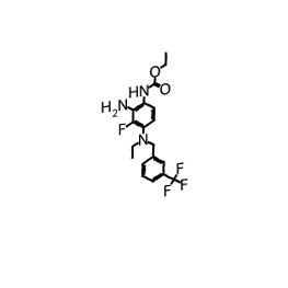 CCOC(=O)Nc1ccc(N(CC)Cc2cccc(C(F)(F)F)c2)c(F)c1N